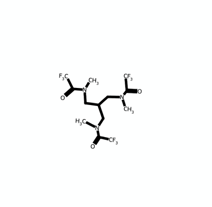 CN(CC(CN(C)C(=O)C(F)(F)F)CN(C)C(=O)C(F)(F)F)C(=O)C(F)(F)F